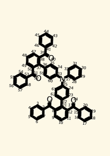 O=C(c1ccccc1)c1cccc(C(=O)c2ccccc2)c1-c1ccc(N(c2ccccc2)c2ccc(-c3c(C(=O)c4ccccc4)cccc3C(=O)c3ccccc3)cc2)cc1